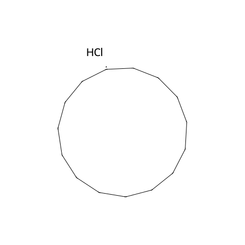 Cl.[CH]1CCCCCCCCCCCCCC1